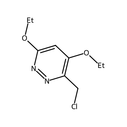 CCOc1cc(OCC)c(CCl)nn1